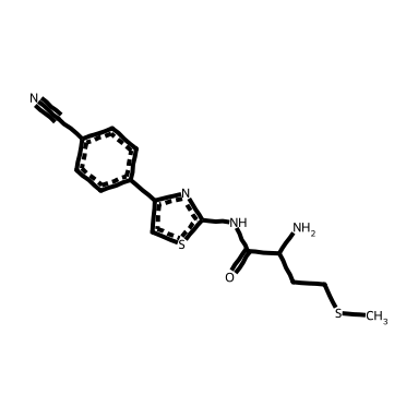 CSCCC(N)C(=O)Nc1nc(-c2ccc(C#N)cc2)cs1